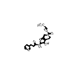 N#Cc1c(NC(=O)CCc2cccnc2)sc2c1CCN(C(=O)OCC(=O)O)C2